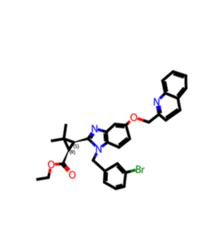 CCOC(=O)[C@@H]1[C@H](c2nc3cc(OCc4ccc5ccccc5n4)ccc3n2Cc2cccc(Br)c2)C1(C)C